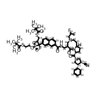 CC(C)(C)C(=O)SCCOP1(=O)OC(CSC(=O)C(C)(C)C)C1(F)c1ccc2ccc(C(=O)NCC3CN(CC(F)F)CC[C@H]4CC[C@@H](C(=O)N5C[C@@H](C#N)[C@H](c6ccccc6)C5)N4C3=O)cc2c1